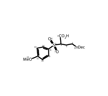 CCCCCCCCCCCCC(C(=O)O)S(=O)(=O)c1ccc(OC)cc1